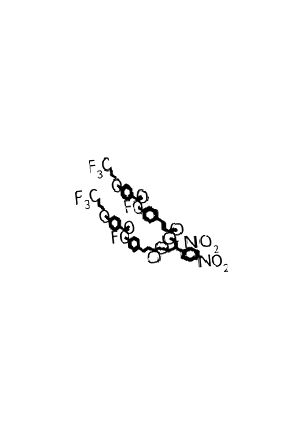 O=C(/C=C/c1ccc(OC(=O)c2ccc(OCCCC(F)(F)F)cc2F)cc1)OCC(COC(=O)/C=C/c1ccc(OC(=O)c2ccc(OCCCC(F)(F)F)cc2F)cc1)c1ccc([N+](=O)[O-])cc1[N+](=O)[O-]